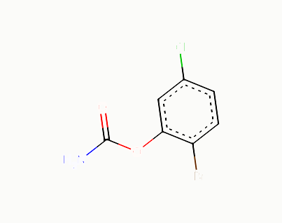 NC(=O)Oc1cc(Cl)ccc1Br